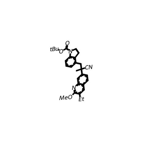 CCc1cc2ccc(C(C)(C#N)Cc3cccc4c3CCN4C(=O)OC(C)(C)C)cc2nc1OC